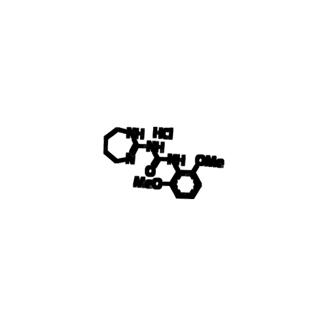 COc1cccc(OC)c1NC(=O)NC1=NCCCCN1.Cl